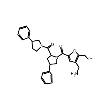 CC(C)Cc1oc(C(=O)N2CC(c3ccccc3)CC2C(=O)N2CCC(c3ccccc3)C2)cc1CN